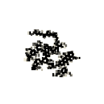 CCCCC(=O)OCC(=O)[C@]1(O)Cc2c(O)c3c(c(O)c2[C@@H](OC2CC(NC(=O)C(F)(F)F)C(O)C(C)O2)C1)C(=O)c1c(OC)cccc1C3=O.Cc1c(N)nc([C@H](CC(N)=O)NC[C@H](N)C(N)=O)nc1C(=O)N[C@H](C(=O)N[C@H](C)[C@@H](O)[C@H](C)C(=O)N[C@H](C(=O)NCCc1nc(-c2nc(C(=O)NCCC[S+](C)C)cs2)cs1)[C@@H](C)O)[C@@H](O[C@@H]1O[C@@H](CO)[C@H](O)[C@@H](O)[C@@H]1O[C@@H]1O[C@@H](CO)[C@H](O)[C@@H](OC(N)=O)[C@@H]1O)c1cnc[nH]1